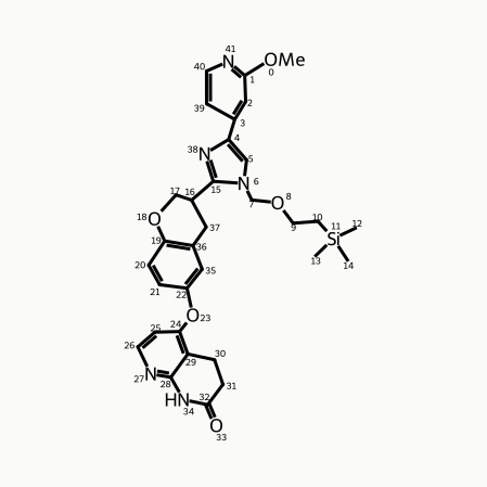 COc1cc(-c2cn(COCC[Si](C)(C)C)c(C3COc4ccc(Oc5ccnc6c5CCC(=O)N6)cc4C3)n2)ccn1